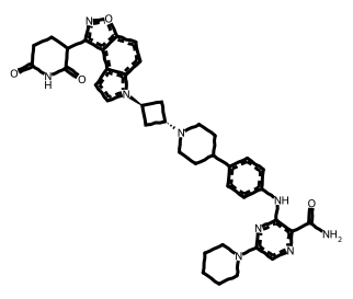 NC(=O)c1ncc(N2CCCCC2)nc1Nc1ccc(C2CCN([C@H]3C[C@H](n4ccc5c6c(C7CCC(=O)NC7=O)noc6ccc54)C3)CC2)cc1